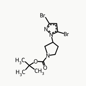 CC(C)(C)OC(=O)N1CCC(n2nc(Br)cc2Br)C1